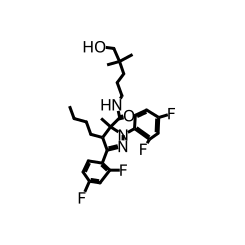 CCCCC1C(c2ccc(F)cc2F)=NN(c2ccc(F)cc2F)C1(C)C(=O)NCCCC(C)(C)CO